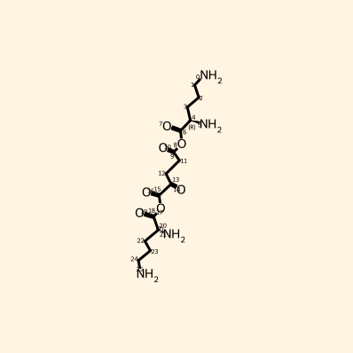 NCCC[C@@H](N)C(=O)OC(=O)CCC(=O)C(=O)OC(=O)[C@H](N)CCCN